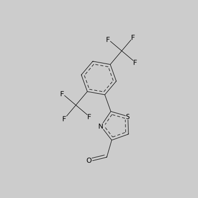 O=Cc1csc(-c2cc(C(F)(F)F)ccc2C(F)(F)F)n1